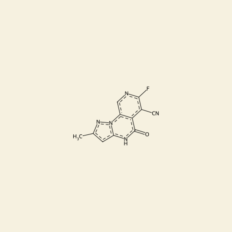 Cc1cc2[nH]c(=O)c3c(C#N)c(F)ncc3n2n1